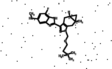 CNc1cc(F)c2[nH]c(-c3nn(COCC[Si](C)(C)C)c4c3C[C@@H]3C[C@]3(C)C4)nc2c1